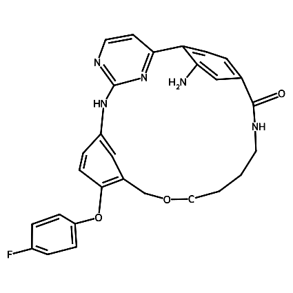 Nc1cc2ccc1-c1ccnc(n1)Nc1ccc(Oc3ccc(F)cc3)c(c1)COCCCCNC2=O